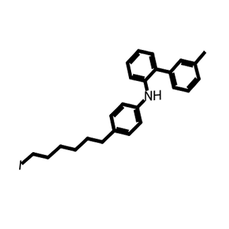 Cc1cccc(-c2ccccc2Nc2ccc(CCCCCCI)cc2)c1